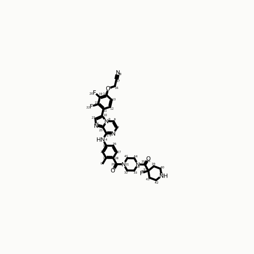 Cc1cc(Nc2nccn3c(-c4ccc(OCC#N)c(F)c4F)cnc23)ccc1C(=O)N1CCN(C(=O)C2(F)CCNCC2)CC1